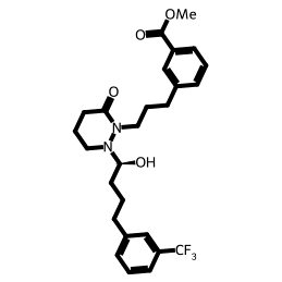 COC(=O)c1cccc(CCCN2C(=O)CCCN2[C@@H](O)CCCc2cccc(C(F)(F)F)c2)c1